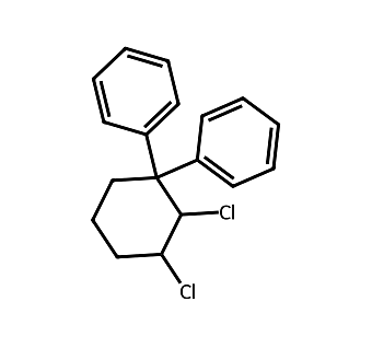 ClC1CCCC(c2ccccc2)(c2ccccc2)C1Cl